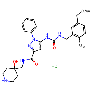 COCc1ccc(C(F)(F)F)c(CNC(=O)Nc2cc(C(=O)NCC3(O)CCNCC3)nn2-c2ccccc2)c1.Cl